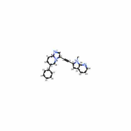 Cn1c(C#Cc2cnc3ccc(-c4cc[c]cc4)cn23)cc2cccnc21